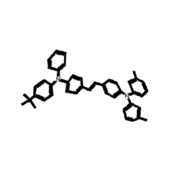 Cc1cccc(N(c2ccc(/C=C/c3ccc(N(c4ccccc4)c4ccc(C(C)(C)C)cc4)cc3)cc2)c2cccc(C)c2)c1